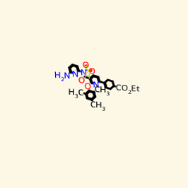 CCOC(=O)C1CC=C(c2ccc(C(=O)N(c3cccc(N)n3)[SH](=O)=O)c(Oc3c(C)cc(C)cc3C)n2)CC1